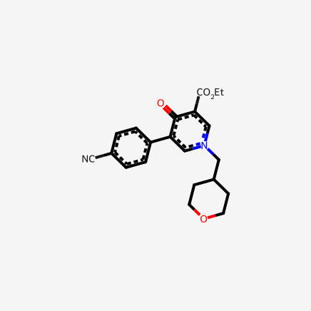 CCOC(=O)c1cn(CC2CCOCC2)cc(-c2ccc(C#N)cc2)c1=O